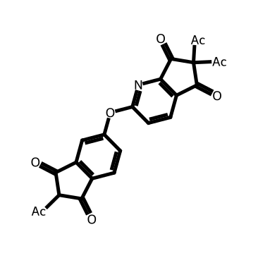 CC(=O)C1C(=O)c2ccc(Oc3ccc4c(n3)C(=O)C(C(C)=O)(C(C)=O)C4=O)cc2C1=O